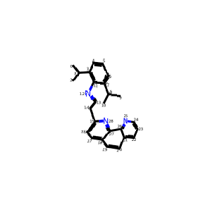 CC(C)c1cccc(C(C)C)c1N=CCc1ccc2ccc3cccnc3c2n1